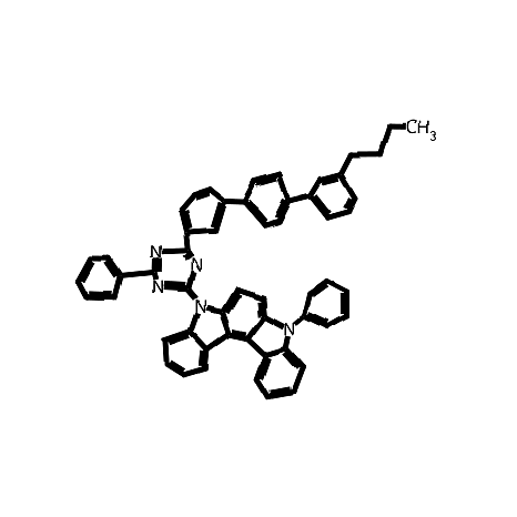 CCCCc1cccc(-c2ccc(-c3cccc(-c4nc(-c5ccccc5)nc(-n5c6ccccc6c6c7c8ccccc8n(-c8ccccc8)c7ccc65)n4)c3)cc2)c1